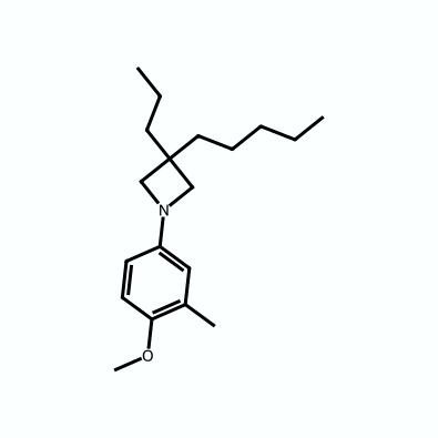 CCCCCC1(CCC)CN(c2ccc(OC)c(C)c2)C1